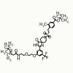 Cc1cc(C(=O)OC(C)(C)C)ccc1CCS(=O)(=O)N1CCC2(CC1)N=C(c1cc(OCCOCCNC(=O)CN(C)OC(C)(C)C)cc(C(F)(F)F)c1)NC2=O